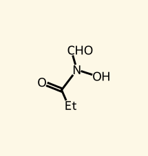 CCC(=O)N(O)C=O